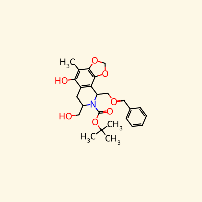 Cc1c(O)c2c(c3c1OCO3)C(COCc1ccccc1)N(C(=O)OC(C)(C)C)C(CO)C2